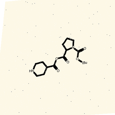 CC(C)(C)OC(=O)N1CCCC1C(=O)OC(=O)C1CCNCC1